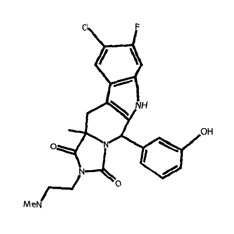 CNCCN1C(=O)N2C(c3cccc(O)c3)c3[nH]c4cc(F)c(Cl)cc4c3CC2(C)C1=O